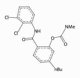 CCCCc1ccc(C(=O)Nc2cccc(Cl)c2Cl)c(OC(=O)NC)c1